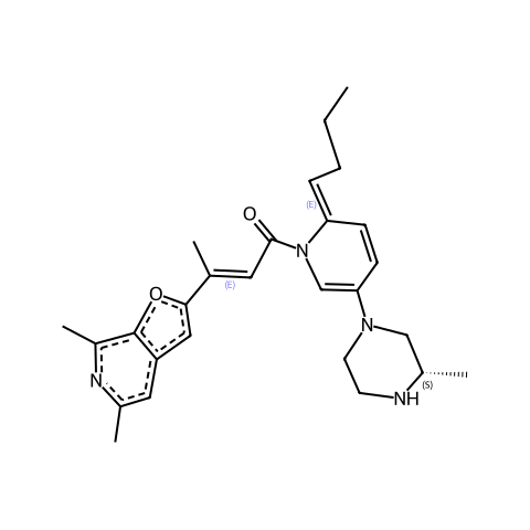 CCC/C=C1\C=CC(N2CCN[C@@H](C)C2)=CN1C(=O)/C=C(\C)c1cc2cc(C)nc(C)c2o1